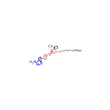 CCCCCCCCCCCCCCCCSCCCOP(OCC1CCC(c2ccc3c(N)ncnn23)O1)Oc1ccccc1Cl